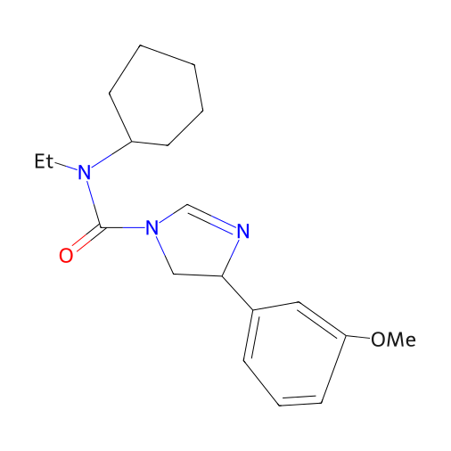 CCN(C(=O)N1C=NC(c2cccc(OC)c2)C1)C1CCCCC1